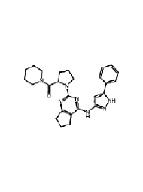 O=C(C1CCCN1c1nc2c(c(Nc3cc(-c4ccccc4)[nH]n3)n1)CCC2)N1CCCCC1